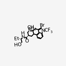 CC[C@@H](CO)NC(=O)[C@@H]1CC2c3cccc4c3c(c(Br)n4C(F)(F)F)C[C@H]2N(C)C1